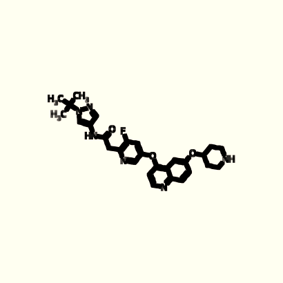 CC(C)(C)n1cc(NC(=O)Cc2ncc(Oc3ccnc4ccc(OC5CCNCC5)cc34)cc2F)cn1